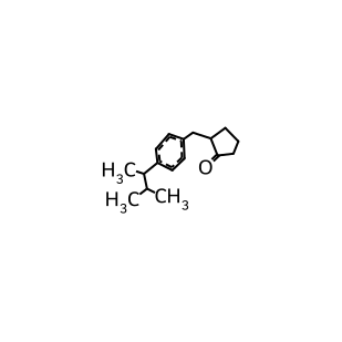 CC(C)C(C)c1ccc(CC2CCCC2=O)cc1